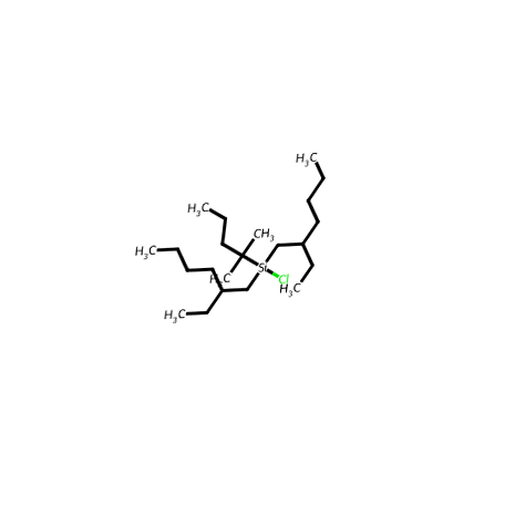 CCCCC(CC)C[Si](Cl)(CC(CC)CCCC)C(C)(C)CCC